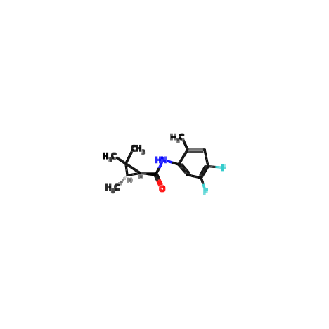 Cc1cc(F)c(F)cc1NC(=O)[C@H]1[C@H](C)C1(C)C